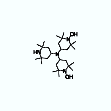 CC1(C)CC(N(C2CC(C)(C)N(O)C(C)(C)C2)C2CC(C)(C)N(O)C(C)(C)C2)CC(C)(C)N1